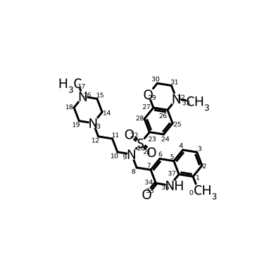 Cc1cccc2cc(CN(CCCN3CCN(C)CC3)S(=O)(=O)c3ccc4c(c3)OCCN4C)c(=O)[nH]c12